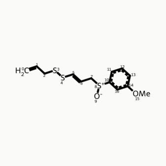 C=CCSS/C=C/C[S+]([O-])c1cccc(OC)c1